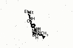 CCN(CC)CCCNC(=O)CCc1ccc(Nc2ncc(Br)c(NC(=N)/C=C(\C)C3CC3)n2)cc1